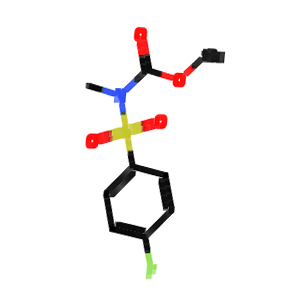 CN(C(=O)OC(C)(C)C)S(=O)(=O)c1ccc(F)cc1